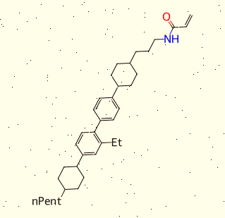 C=CC(=O)NCCCC1CCC(c2ccc(-c3ccc(C4CCC(CCCCC)CC4)cc3CC)cc2)CC1